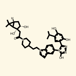 CC(C)c1cc(-c2nnc(O)n2-c2ccc3c(ccn3CCC3CCN(C(=O)C[C@@]4(O)C5[C@@H](C[C@@H]4O)C5(C)C)CC3)c2)c(O)cc1O